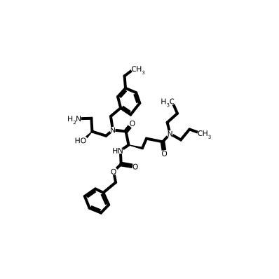 CCCN(CCC)C(=O)CC[C@@H](NC(=O)OCc1ccccc1)C(=O)N(Cc1cccc(CC)c1)C[C@@H](O)CN